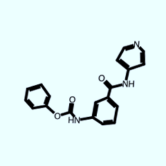 O=C(Nc1cccc(C(=O)Nc2ccncc2)c1)Oc1ccccc1